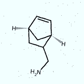 NCC1C[C@H]2C=C[C@@H]1C2